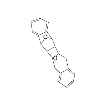 c1ccc2c(c1)C1OC2C2C1C1C3OC(c4ccccc43)C21